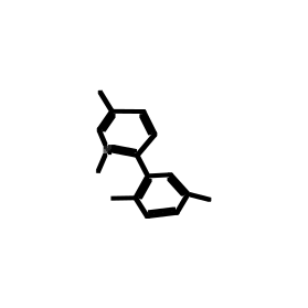 Cc1ccc(C)c(-c2ccc(C)c[n+]2C)c1